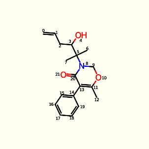 C=CCC(O)C(C)(C)N1COC(C)=C(c2ccccc2)C1=O